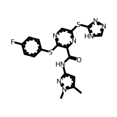 Cc1cc(NC(=O)c2nc(Sc3nnc[nH]3)cnc2Sc2ccc(F)cc2)nn1C